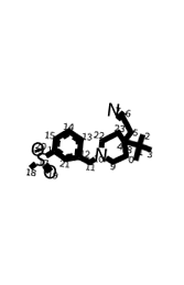 CC(C)(C)C1(CC#N)CCN(Cc2cccc(S(C)(=O)=O)c2)CC1